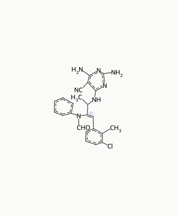 Cc1c(Cl)cccc1/C=C(/C(C)Nc1nc(N)nc(N)c1C#N)N(C=O)c1ccccc1